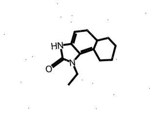 CCn1c(=O)[nH]c2c1=C1CCCCC1CC=2